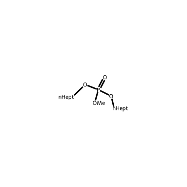 CCCCCCCOP(=O)(OC)OCCCCCCC